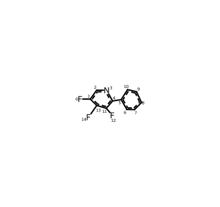 Fc1cnc(-c2ccccc2)c(F)c1F